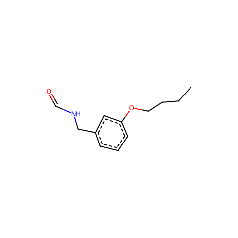 CCCCOc1cccc(CNC=O)c1